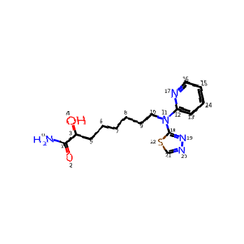 NC(=O)C(O)CCCCCCN(c1ccccn1)c1nncs1